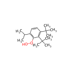 CC(C)c1ccc(C(C)(C)C)c(C(C)(C)C)c1OO